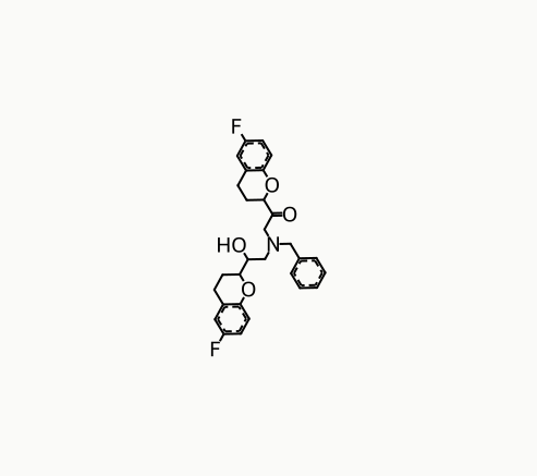 O=C(CN(Cc1ccccc1)CC(O)C1CCc2cc(F)ccc2O1)C1CCc2cc(F)ccc2O1